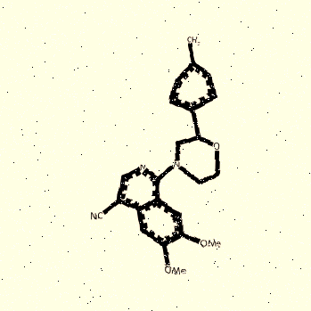 COc1cc2c(C#N)cnc(N3CCOC(c4ccc(C)cc4)C3)c2cc1OC